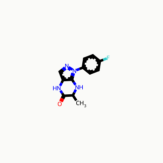 CC1Nc2c(cnn2-c2ccc(F)cc2)NC1=O